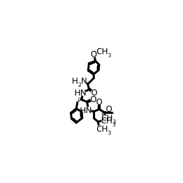 COc1ccc(CC(N)C(=O)N[C@@H](Cc2ccccc2)C(=O)NC(CC(C)C)C(=O)[C@@]2(C)CO2)cc1